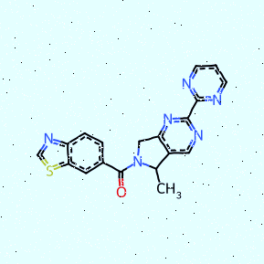 CC1c2cnc(-c3ncccn3)nc2CN1C(=O)c1ccc2ncsc2c1